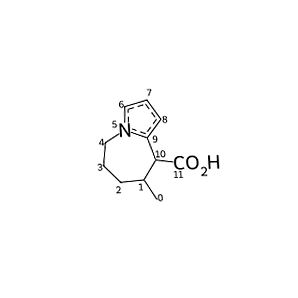 CC1CCCn2cccc2C1C(=O)O